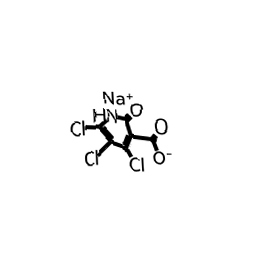 O=C([O-])c1c(Cl)c(Cl)c(Cl)[nH]c1=O.[Na+]